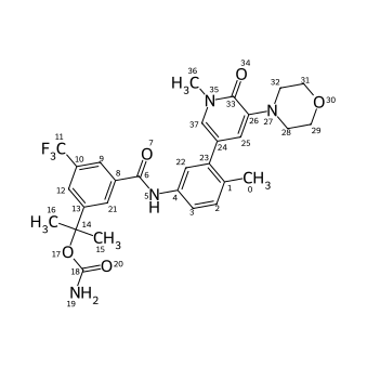 Cc1ccc(NC(=O)c2cc(C(F)(F)F)cc(C(C)(C)OC(N)=O)c2)cc1-c1cc(N2CCOCC2)c(=O)n(C)c1